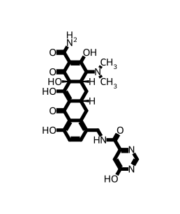 CN(C)C1C(O)=C(C(N)=O)C(=O)[C@@]2(O)C(O)=C3C(=O)c4c(O)ccc(CNC(=O)c5cc(O)ncn5)c4C[C@H]3C[C@@H]12